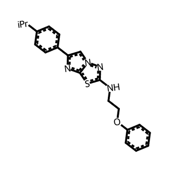 CC(C)c1ccc(-c2cn3nc(NCCOc4ccccc4)sc3n2)cc1